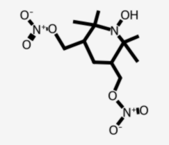 CC1(C)C(CO[N+](=O)[O-])CC(CO[N+](=O)[O-])C(C)(C)N1O